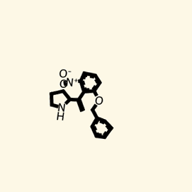 C=C(c1c(OCc2ccccc2)cccc1[N+](=O)[O-])C1CCCN1